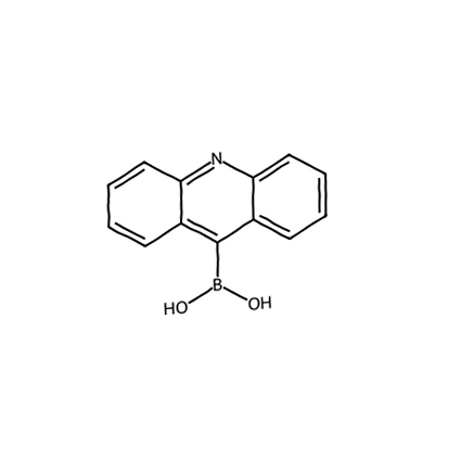 OB(O)c1c2ccccc2nc2ccccc12